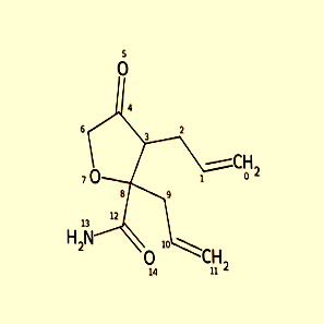 C=CCC1C(=O)COC1(CC=C)C(N)=O